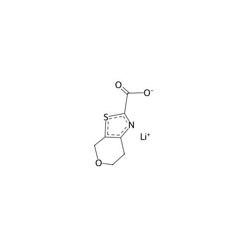 O=C([O-])c1nc2c(s1)COCC2.[Li+]